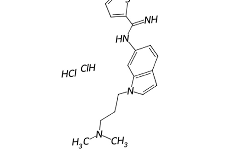 CN(C)CCCn1ccc2ccc(NC(=N)c3cccs3)cc21.Cl.Cl